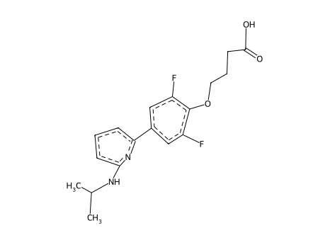 CC(C)Nc1cccc(-c2cc(F)c(OCCCC(=O)O)c(F)c2)n1